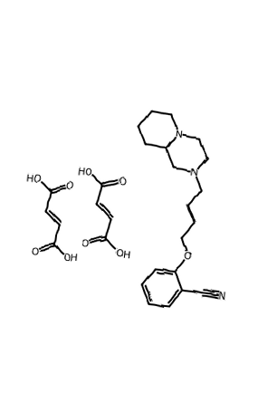 N#Cc1ccccc1OCCCCN1CCN2CCCCC2C1.O=C(O)C=CC(=O)O.O=C(O)C=CC(=O)O